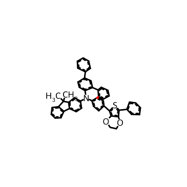 CC1(C)c2ccccc2-c2ccc(N(c3ccc(-c4sc(-c5ccccc5)c5c4OCCO5)cc3)c3ccc(-c4ccccc4)cc3-c3ccccc3)cc21